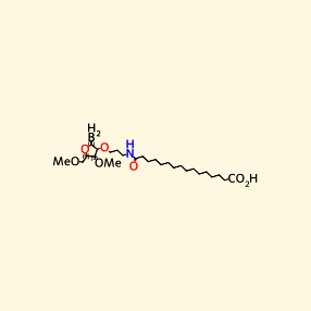 B[C@@H]1O[C@H](COC)[C@H](OC)C1OCCCNC(=O)CCCCCCCCCCCCCCC(=O)O